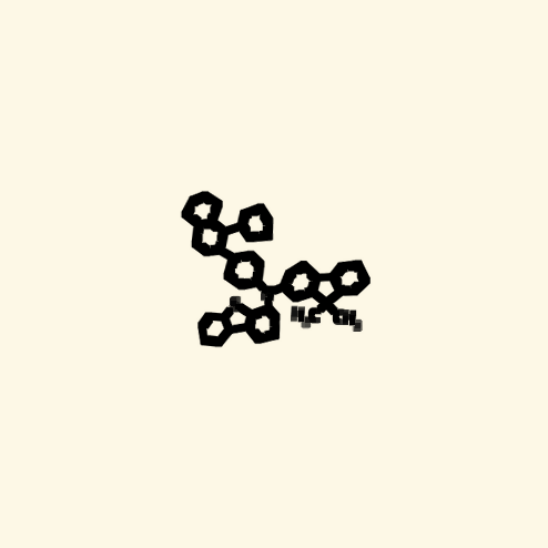 CC1(C)c2ccccc2-c2ccc(N(c3ccc(-c4ccc5ccccc5c4-c4ccccc4)cc3)c3cccc4c3SC3C=CC=CC43)cc21